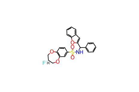 O=S(=O)(NC(c1ccccc1)c1cc2ccccc2o1)c1ccc2c(c1)OC[C@H](F)CO2